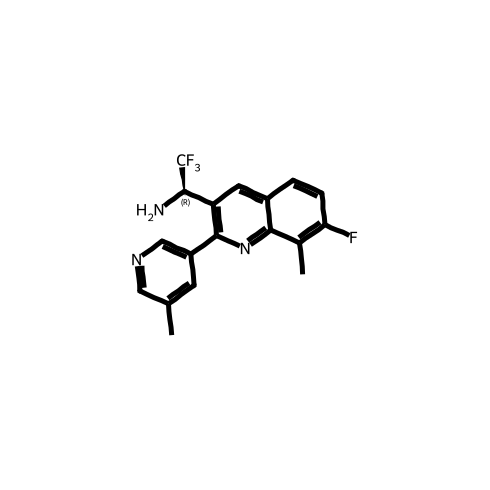 Cc1cncc(-c2nc3c(C)c(F)ccc3cc2[C@@H](N)C(F)(F)F)c1